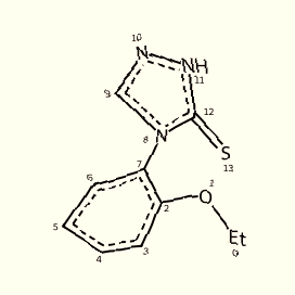 CCOc1ccccc1-n1cn[nH]c1=S